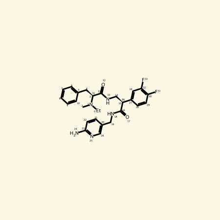 CCN(C)[C@@H](Cc1ccccc1)C(=O)NC[C@H](C(=O)NCc1ccc(N)nc1)c1ccc(F)c(F)c1